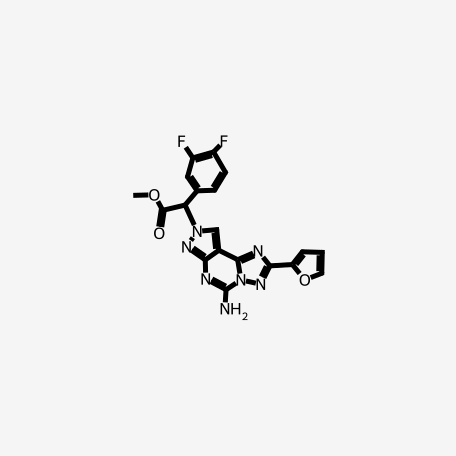 COC(=O)C(c1ccc(F)c(F)c1)n1cc2c(nc(N)n3nc(-c4ccco4)nc23)n1